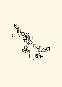 CC1(C)CCC(CN2CC=C(c3ccc(C(=O)NS(=O)(=O)c4ccc(NCC5CCOCC5)c([N+](=O)[O-])c4)c(Oc4cnc5[nH]ccc5c4)c3)CC2)=C(c2ccc(Cl)cc2F)C1